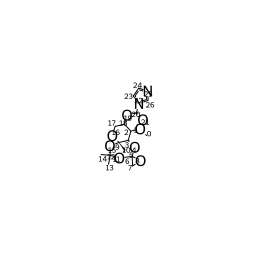 CO[C@H]1[C@@H](OC2(C)CO2)[C@@]2(COC(C)(C)O2)OC[C@H]1OC(=O)n1ccnc1